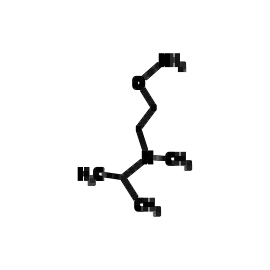 CC(C)N(C)CCON